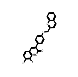 O=C(O)C(=Cc1ccc(Cl)c(F)c1)c1ccc(OCc2ccc3ccccc3n2)cc1